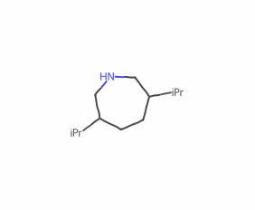 CC(C)C1CCC(C(C)C)CNC1